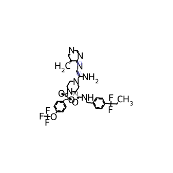 C=C1C=NC=N/C1=N/C=C(\N)N1CCN(S(=O)(=O)c2ccc(OC(F)(F)F)cc2)[C@@H](C(=O)NCc2ccc(C(F)(F)CC)cc2)C1